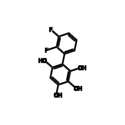 Oc1cc(O)c(-c2cccc(F)c2F)c(O)c1O